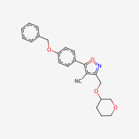 N#Cc1c(COC2CCCOC2)noc1-c1ccc(OCc2ccccc2)cc1